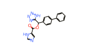 O=C(OC(c1ccc(-c2ccccc2)cc1)c1nnn[nH]1)c1cnc[nH]1